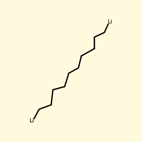 [Li][CH2]CCCCCCCC[CH2][Li]